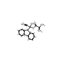 C#CC(C)(OC(=O)C(=C)C)C1c2ccccc2-c2ccccc21